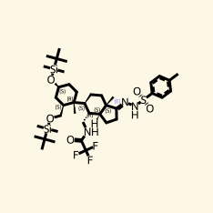 Cc1ccc(S(=O)(=O)N/N=C2\CC[C@H]3[C@H](CNC(=O)C(F)(F)F)[C@@H]([C@@]4(C)CC[C@H](O[Si](C)(C)C(C)(C)C)C[C@@H]4CO[Si](C)(C)C(C)(C)C)CC[C@]23C)cc1